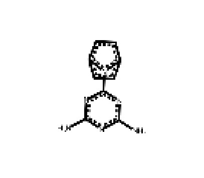 Nc1nc(N)nc(-n2c3ccc2cc3)n1